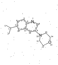 CC(C)c1ccc2ncc(N3CCOCC3)cc2c1